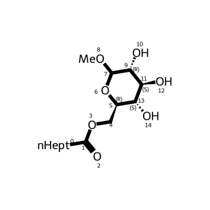 CCCCCCCC(=O)OC[C@H]1OC(OC)[C@H](O)[C@@H](O)[C@@H]1O